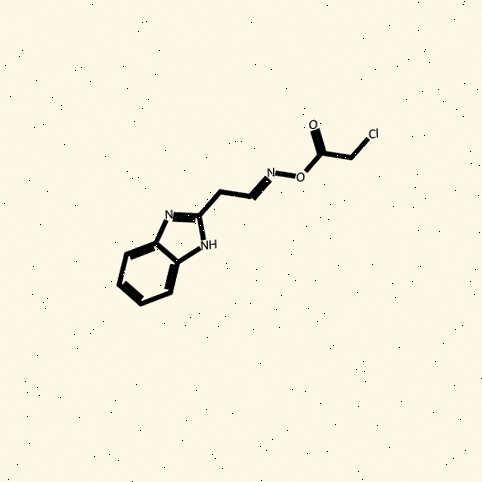 O=C(CCl)ON=CCc1nc2ccccc2[nH]1